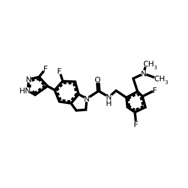 CN(C)Cc1c(F)cc(F)cc1CNC(=O)N1CCc2cc(-c3c[nH]nc3F)c(F)cc21